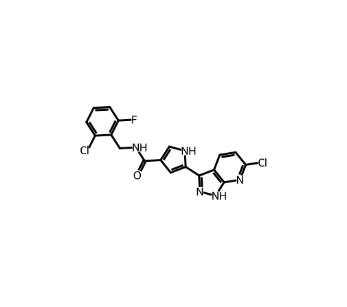 O=C(NCc1c(F)cccc1Cl)c1c[nH]c(-c2n[nH]c3nc(Cl)ccc23)c1